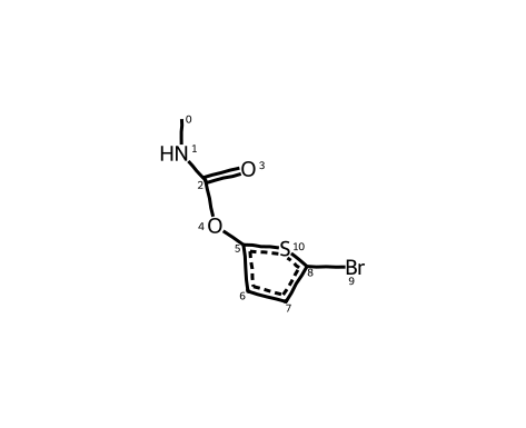 CNC(=O)Oc1ccc(Br)s1